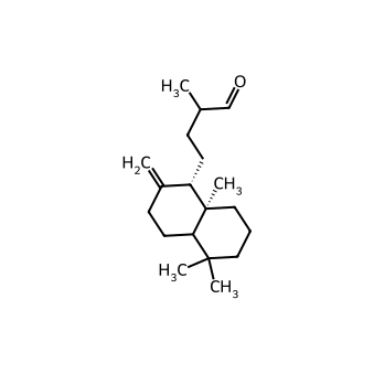 C=C1CCC2C(C)(C)CCC[C@]2(C)[C@H]1CCC(C)C=O